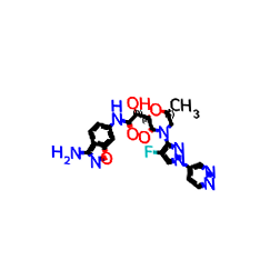 C[C@H]1CN(c2nn(-c3ccnnc3)cc2F)C(=O)[C@@H]([C@@H](O)C(=O)Nc2ccc3c(N)noc3c2)O1